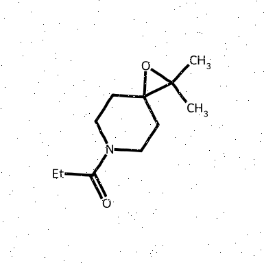 CCC(=O)N1CCC2(CC1)OC2(C)C